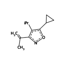 C=C(C)c1noc(C2CC2)c1C(C)C